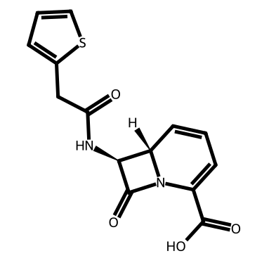 O=C(Cc1cccs1)N[C@@H]1C(=O)N2C(C(=O)O)=CC=C[C@@H]12